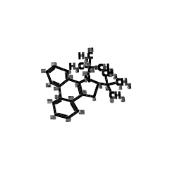 CC(C)(C)C1Cc2c(c3ccccc3c3ccccc23)N1C(C)(C)C